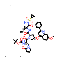 C=C[C@@H]1C[C@]1(NC(=O)[C@@H]1C[C@@H](Oc2cc(-c3ccccc3)nc3cc(OC)ccc23)CN1C(=O)[C@H](CN1CC=CC1=O)NC(=O)OC(C)(C)C)C(=O)NS(=O)(=O)C1CC1